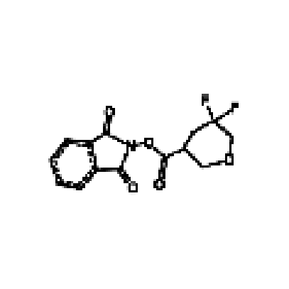 O=C(ON1C(=O)c2ccccc2C1=O)C1COCC(F)(F)C1